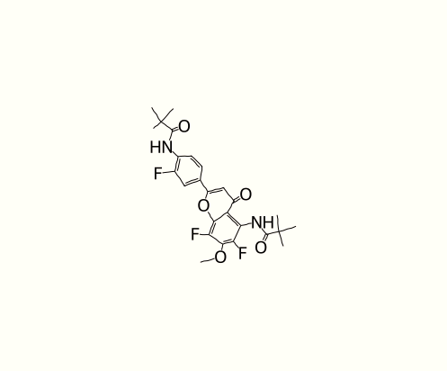 COc1c(F)c(NC(=O)C(C)(C)C)c2c(=O)cc(-c3ccc(NC(=O)C(C)(C)C)c(F)c3)oc2c1F